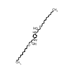 CCCCCCCCCCCCOCC(O)CNc1ccc(NCC(O)COCCCCCCCCCCCC)cc1